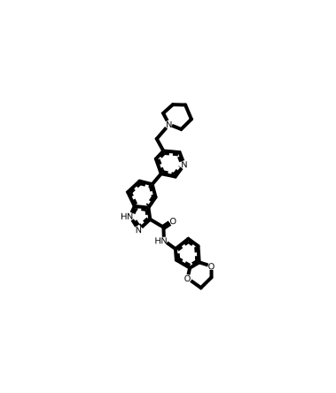 O=C(Nc1ccc2c(c1)OCCO2)c1n[nH]c2ccc(-c3cncc(CN4CCCCC4)c3)cc12